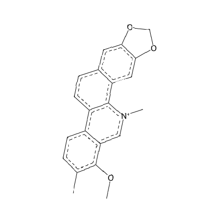 COc1c(C)ccc2c1c[n+](C)c1c3cc4c(cc3ccc21)OCO4